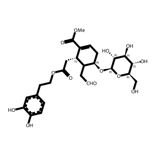 COC(=O)C1=CC[C@@H](O[C@@H]2O[C@H](CO)[C@@H](O)[C@H](O)[C@H]2O)C(CC=O)[C@@H]1CC(=O)OCCc1ccc(O)c(O)c1